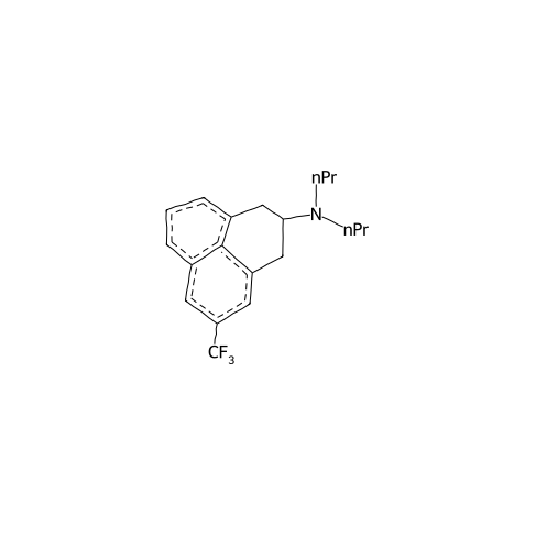 CCCN(CCC)C1Cc2cccc3cc(C(F)(F)F)cc(c23)C1